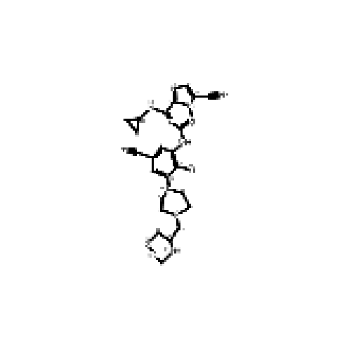 N#Cc1cc(Nc2nc(NC3CC3)c3ncc(C#N)n3n2)c(Cl)c(N2CCN(CC3COCCN3)CC2)c1